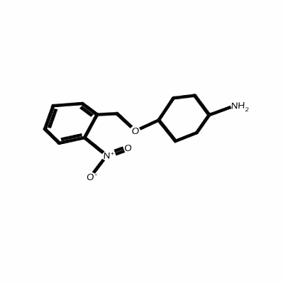 NC1CCC(OCc2ccccc2[N+](=O)[O-])CC1